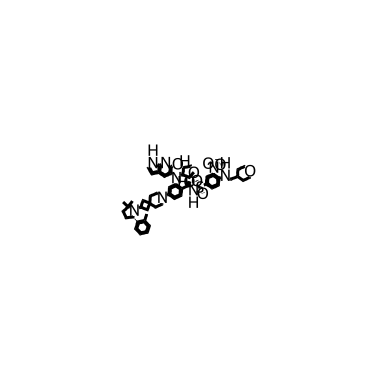 Cc1ccccc1[C@@H]1CCC(C)(C)N1C1CC2(CCN(c3ccc(C(=O)NS(=O)(=O)c4ccc(NCC5CCOCC5)c([N+](=O)[O-])c4)c(N4c5cc6cc[nH]c6nc5O[C@@H]5COC[C@H]54)c3)CC2)C1